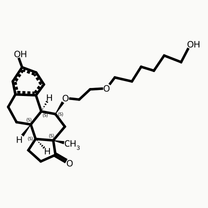 C[C@]12C[C@H](OCCOCCCCCCO)[C@@H]3c4ccc(O)cc4CC[C@H]3[C@@H]1CCC2=O